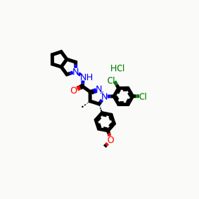 COc1ccc([C@@H]2[C@H](C)C(C(=O)NN3CC4CCCC4C3)=NN2c2ccc(Cl)cc2Cl)cc1.Cl